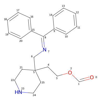 O=COCCC1(CN=C(c2ccccc2)c2ccccc2)CCNCC1